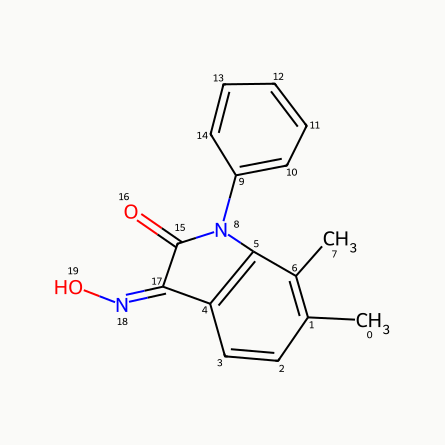 Cc1ccc2c(c1C)N(c1ccccc1)C(=O)C2=NO